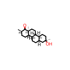 C[C@@H]1CC[C@H]2[C@@H]3CC[C@@H]4C[C@](C)(O)CC[C@@H]4[C@H]3CC[C@]2(C)C1=O